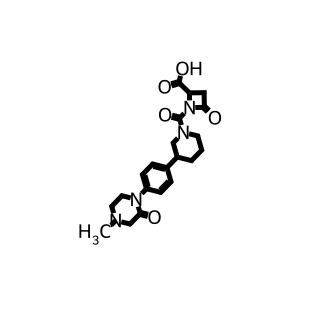 CN1CCN(c2ccc(C3CCCN(C(=O)N4C(=O)CC4C(=O)O)C3)cc2)C(=O)C1